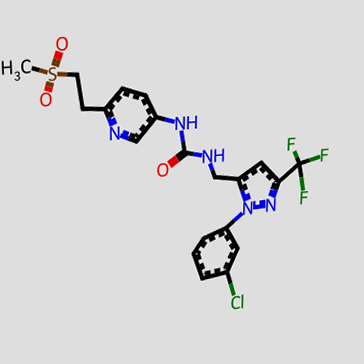 CS(=O)(=O)CCc1ccc(NC(=O)NCc2cc(C(F)(F)F)nn2-c2cccc(Cl)c2)cn1